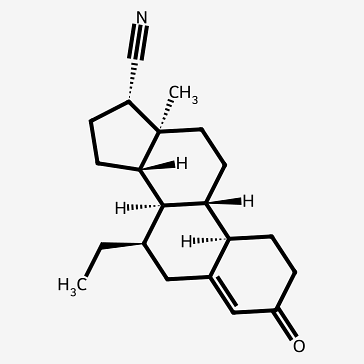 CC[C@@H]1CC2=CC(=O)CC[C@@H]2[C@H]2CC[C@]3(C)[C@@H](C#N)CC[C@H]3[C@H]12